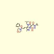 Cc1nn2c(O)c(C(=O)NC3CC3)c(=O)n(CC(C)C)c2c1/C=C/C(=O)N1CCOC[C@@H]1c1ccccc1